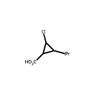 CC(C)C1C(Cl)C1C(=O)O